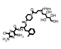 CCCCCCN(CCC(=O)N1CCC(N(C)CC(CNC(=O)c2nc(Cl)c(N)nc2N)Cc2ccccc2C)CC1)C[C@H](O)[C@@H](O)[C@H](O)CO